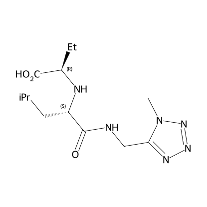 CC[C@@H](N[C@@H](CC(C)C)C(=O)NCc1nnnn1C)C(=O)O